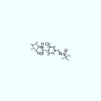 CC(C)(C)[S@@+]([O-])/N=C/c1ccc(C(O)NC2CCCC2)c(Cl)c1